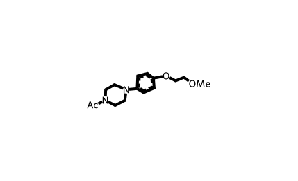 COCCOc1ccc(N2CCN(C(C)=O)CC2)cc1